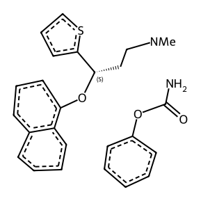 CNCC[C@H](Oc1cccc2ccccc12)c1cccs1.NC(=O)Oc1ccccc1